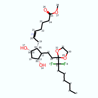 CCCCCCC(F)(F)C1(CCC2[C@H](O)C[C@H](O)[C@@H]2C/C=C\CCCC(=O)OC)OCCO1